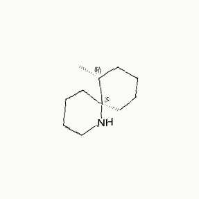 C[C@@H]1CCCC[C@]12CCCCN2